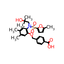 Cc1ccc(S(=O)(=O)N(CC(C)(C)O)c2cc(C)c(C)cc2OCc2ccc(C(=O)O)cc2)o1